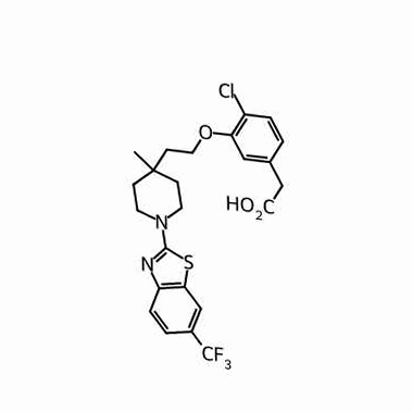 CC1(CCOc2cc(CC(=O)O)ccc2Cl)CCN(c2nc3ccc(C(F)(F)F)cc3s2)CC1